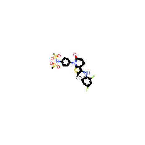 CCOC(=O)c1sc2c(ccc(=O)n2-c2ccc(N(S(C)(=O)=O)S(C)(=O)=O)cc2)c1Nc1ccc(F)cc1F